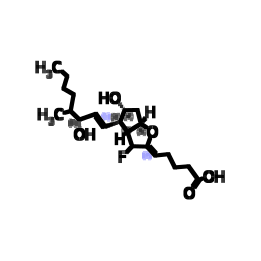 CCCCC(C)[C@@H](O)/C=C/[C@@H]1[C@H]2C(F)/C(=C/CCCC(=O)O)O[C@H]2C[C@H]1O